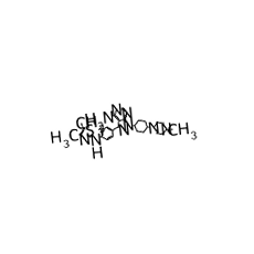 Cc1nc(Nc2ccc(-c3nn(C4CCC(N5CCN(C)CC5)CC4)c4ncnc(N)c34)cc2)sc1C